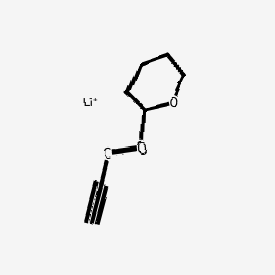 C#C[CH-]OC1CCCCO1.[Li+]